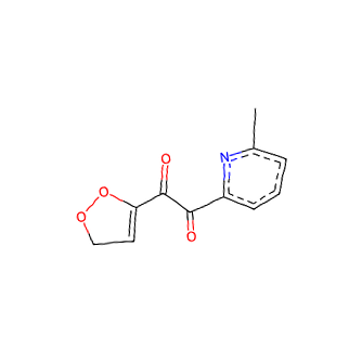 Cc1cccc(C(=O)C(=O)C2=CCOO2)n1